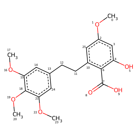 COc1cc(O)c(C(=O)O)c(CCc2cc(OC)c(OC)c(OC)c2)c1